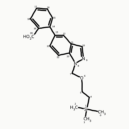 C[Si](C)(C)CCOCn1ncc2cc(-c3ccccc3C(=O)O)ccc21